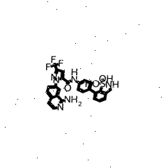 Nc1nccc2ccc(-n3nc(C(F)(F)F)cc3C(=O)Nc3ccc(-c4cccc5c4S(O)(O)NC5)cc3)cc12